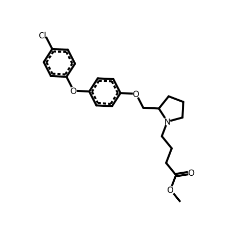 COC(=O)CCCN1CCCC1COc1ccc(Oc2ccc(Cl)cc2)cc1